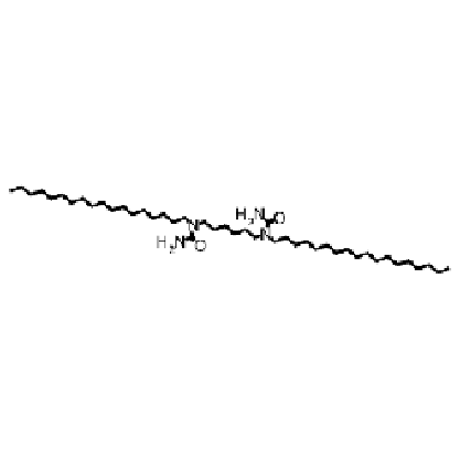 CCCCCCCCCCCCCCCCCCN(CCCCCCN(CCCCCCCCCCCCCCCCCC)C(N)=O)C(N)=O